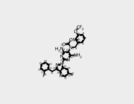 COC(=O)N(Cc1cccc(OC(F)(F)F)c1)c1c(N)nc(-n2nc(Cc3ccccc3F)c3ncc(F)cc32)nc1N